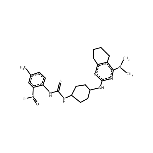 Cc1ccc(NC(=S)NC2CCC(Nc3nc4c(c(N(C)C)n3)CCCC4)CC2)c([N+](=O)[O-])c1